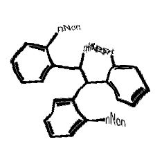 CCCCCCCCCc1ccccc1[C](c1ccccc1CCCCCCCCC)C(CCCCCCC)c1ccccc1CCCCCCCCC